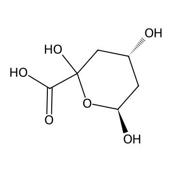 O=C(O)C1(O)C[C@H](O)C[C@@H](O)O1